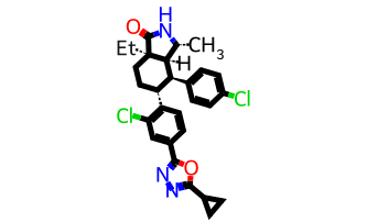 CC[C@@]12CC[C@@H](c3ccc(-c4nnc(C5CC5)o4)cc3Cl)[C@H](c3ccc(Cl)cc3)[C@@H]1[C@@H](C)NC2=O